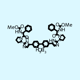 COC(=O)N[C@@H](C(=O)N1CCC[C@H]1c1ncc(-c2ccc(-c3ccc(-c4cnc([C@@H]5CCCN5C(=O)[C@H](NC(=O)OC)c5ccccc5)[nH]4)cc3C)c(C)c2)[nH]1)c1ccccc1